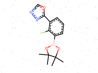 CC1(C)OB(c2cccc(-c3nnco3)c2F)OC1(C)C